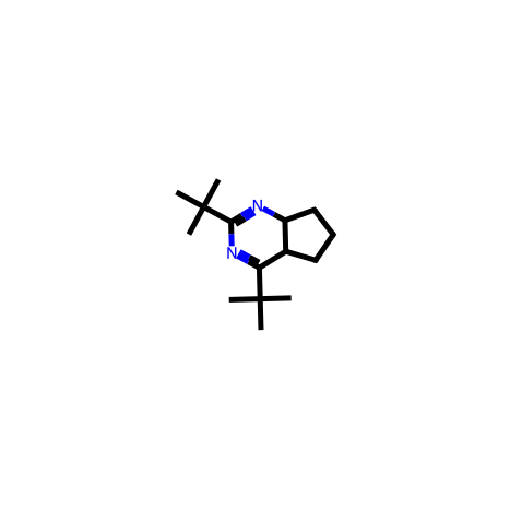 CC(C)(C)C1=NC2CCCC2C(C(C)(C)C)=N1